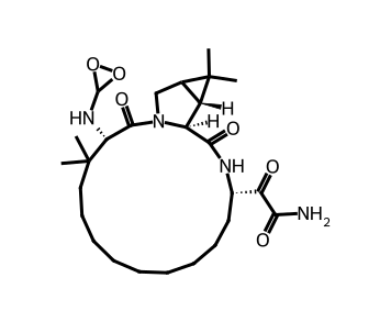 CC1(C)CCCCCCCCC[C@@H](C(=O)C(N)=O)NC(=O)[C@@H]2[C@@H]3C(CN2C(=O)[C@H]1NC1OO1)C3(C)C